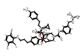 Cc1ccc(CCN(C(=O)C2=C(c3ccc(CCCOc4c(F)ccc(F)c4F)cc3)CC3CN(C(=O)Oc4cccc(CON(O)O)c4)CC2N3C(=O)OC(C)(C)C(Cl)(Cl)Cl)C2CC2)cc1